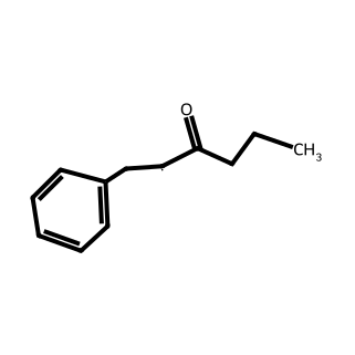 CCCC(=O)[CH]Cc1ccccc1